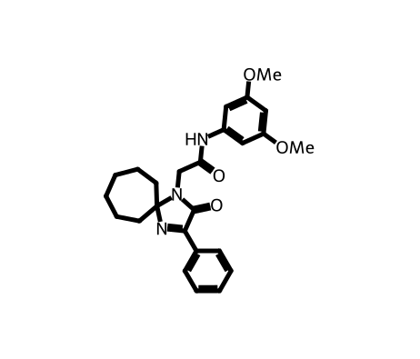 COc1cc(NC(=O)CN2C(=O)C(c3ccccc3)=NC23CCCCCC3)cc(OC)c1